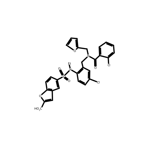 CCN(c1ccc(Cl)cc1CN(Cc1ccco1)C(=O)c1ccccc1Cl)S(=O)(=O)c1ccc2oc(C(=O)O)cc2c1